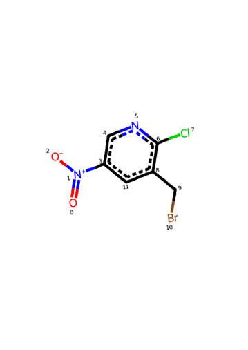 O=[N+]([O-])c1cnc(Cl)c(CBr)c1